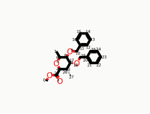 COC(=O)C1OC(C)C(OCc2ccccc2)[C@H](OCc2ccccc2)[C@@H]1C